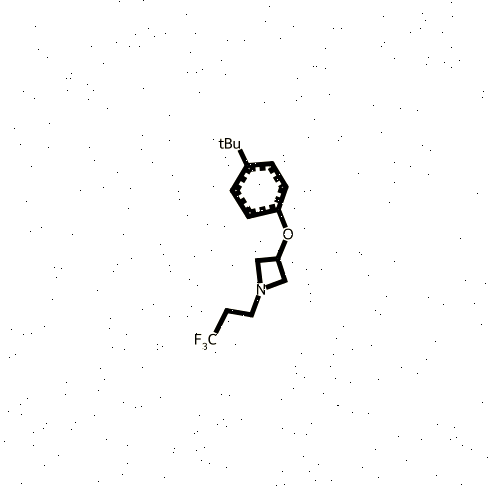 CC(C)(C)c1ccc(OC2CN(CCC(F)(F)F)C2)cc1